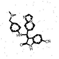 CN(C)Cc1ccc(N/C(=C2\C(=O)Nc3cc(C#N)ccc32)c2ccn3ccnc3c2)cc1